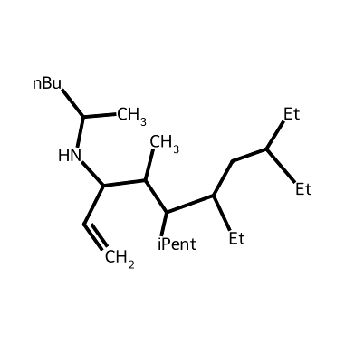 C=CC(NC(C)CCCC)C(C)C(C(C)CCC)C(CC)CC(CC)CC